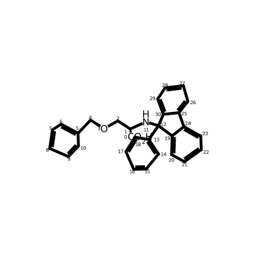 O=C(O)[C@H](COCc1ccccc1)NC1(c2ccccc2)c2ccccc2-c2ccccc21